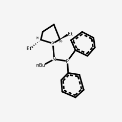 CCCCN(P(c1ccccc1)c1ccccc1)P1[C@H](CC)CC[C@H]1CC